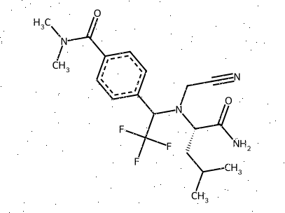 CC(C)C[C@@H](C(N)=O)N(CC#N)C(c1ccc(C(=O)N(C)C)cc1)C(F)(F)F